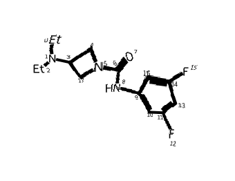 CCN(CC)C1CN(C(=O)Nc2cc(F)cc(F)c2)C1